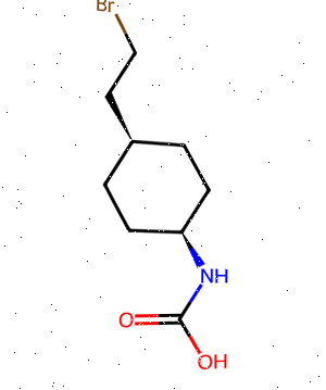 O=C(O)N[C@H]1CC[C@@H](CCBr)CC1